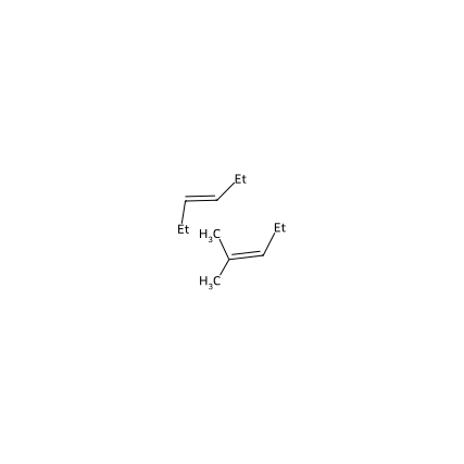 CCC=C(C)C.CCC=CCC